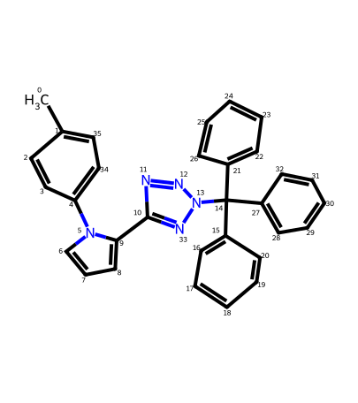 Cc1ccc(-n2cccc2-c2nnn(C(c3ccccc3)(c3ccccc3)c3ccccc3)n2)cc1